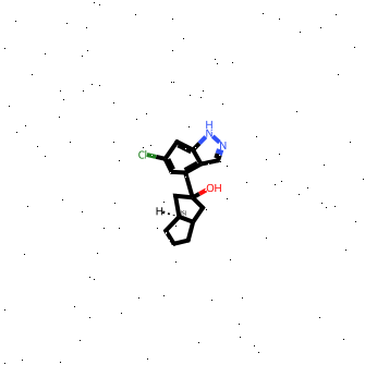 OC1(c2cc(Cl)cc3[nH]ncc23)CC2CCC[C@H]2C1